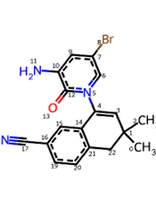 CC1(C)C=C(n2cc(Br)cc(N)c2=O)c2cc(C#N)ccc2C1